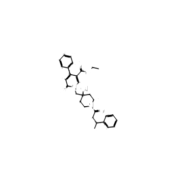 CCOC(=O)c1cn(CC2(O)CCN(C(=O)CC(C)c3ccccc3)CC2)c(=O)cc1-c1ccccc1